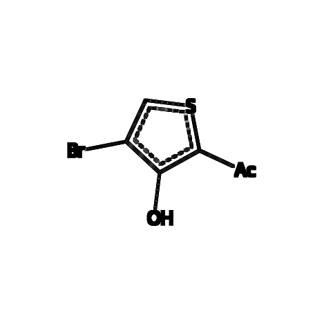 CC(=O)c1scc(Br)c1O